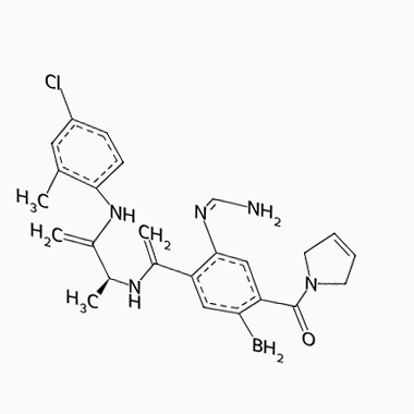 Bc1cc(C(=C)N[C@@H](C)C(=C)Nc2ccc(Cl)cc2C)c(/N=C\N)cc1C(=O)N1CC=CC1